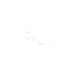 COc1ccc(COc2ccc(COC3NC(Cl)CNC3N)cc2OC)cc1